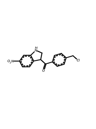 O=C(c1ccc(CCl)cc1)C1CNc2cc([N+](=O)[O-])ccc21